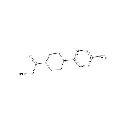 CC(C)(C)OC(=O)N1CCN(c2ccc(C(F)(F)F)cn2)CC1